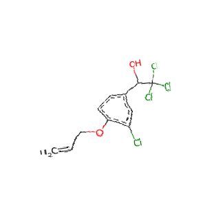 C=CCOc1ccc(C(O)C(Cl)(Cl)Cl)cc1Cl